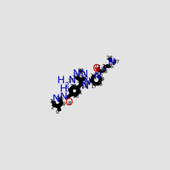 Cc1ccnc(NC(=O)c2ccc(-c3nn(C4CCCN(C(=O)/C=C/CN(C)C)C4)c4ncnc(N)c34)cc2)c1